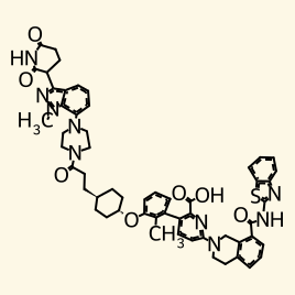 Cc1c(O[C@H]2CC[C@H](CCC(=O)N3CCN(c4cccc5c(C6CCC(=O)NC6=O)nn(C)c45)CC3)CC2)cccc1-c1ccc(N2CCc3cccc(C(=O)Nc4nc5ccccc5s4)c3C2)nc1C(=O)O